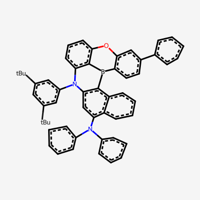 CC(C)(C)c1cc(N2c3cccc4c3B(c3ccc(-c5ccccc5)cc3O4)c3c2cc(N(c2ccccc2)c2ccccc2)c2ccccc32)cc(C(C)(C)C)c1